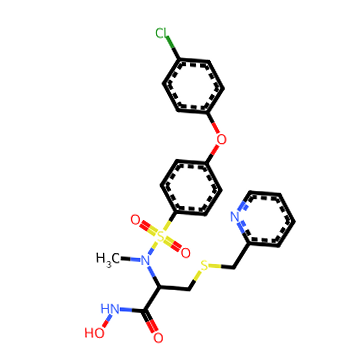 CN(C(CSCc1ccccn1)C(=O)NO)S(=O)(=O)c1ccc(Oc2ccc(Cl)cc2)cc1